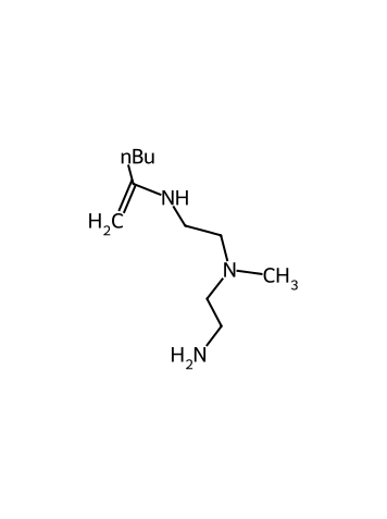 C=C(CCCC)NCCN(C)CCN